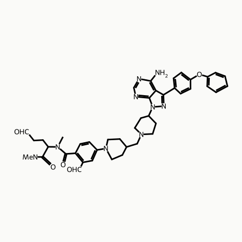 CNC(=O)C(CCC=O)N(C)C(=O)c1ccc(N2CCC(CN3CCC(n4nc(-c5ccc(Oc6ccccc6)cc5)c5c(N)ncnc54)CC3)CC2)cc1C=O